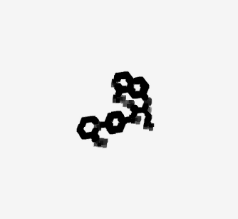 CC(C)C[C@H](Oc1ccc2ccnc(N)c2c1)C(=O)Nc1ccc(N2CCCCC2=N)cc1